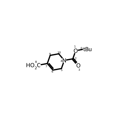 CC(C)(C)OC(=O)N1CC=C(C(=O)O)CC1